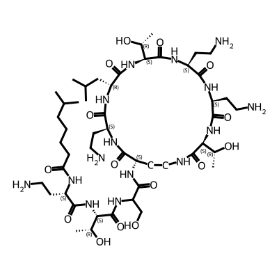 CC(C)CCCCC(=O)N[C@@H](CCN)C(=O)N[C@H](C(=O)NC(CO)C(=O)N[C@H]1CCNC(=O)[C@H]([C@@H](C)O)NC(=O)[C@H](CCN)NC(=O)[C@H](CCN)NC(=O)[C@H]([C@@H](C)O)NC(=O)[C@@H](CC(C)C)NC(=O)[C@H](CCN)NC1=O)[C@@H](C)O